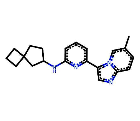 Cc1ccc2ncc(-c3cccc(NC4CCC5(CCC5)C4)n3)n2c1